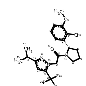 COc1cccc([C@@H]2CCCN2C(=O)Cn2nc(C(C)C)cc2C(F)(F)F)c1Cl